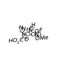 COc1ccc(F)c(OC[C@H]2C[C@H]3C[C@H]3N2c2cc3c(cc2Cl)c(=O)c(C(=O)O)cn3-c2ccc(N(C)C)nc2)n1